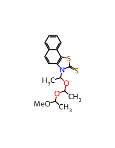 COC(C)OC(C)OC(C)n1c(=S)sc2c3ccccc3ccc21